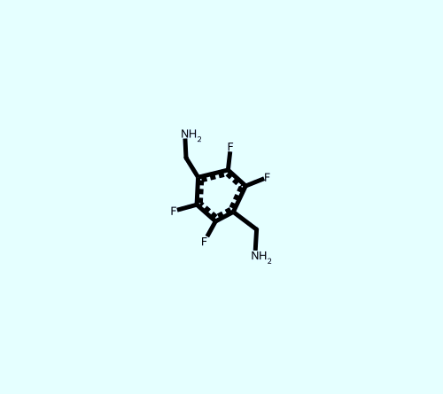 NCc1c(F)c(F)c(CN)c(F)c1F